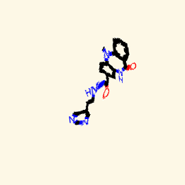 CN1c2ccc(C(=O)NCCc3cncnc3)cc2NC(=O)c2ccccc21